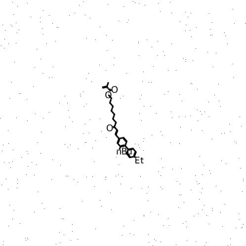 C=C(C)C(=O)OCCCCCCCC(=O)/C=C/c1ccc(-c2ccc(CC)cc2)c(CCCC)c1